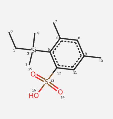 CC[Si](C)(C)c1c(C)cc(C)cc1S(=O)(=O)O